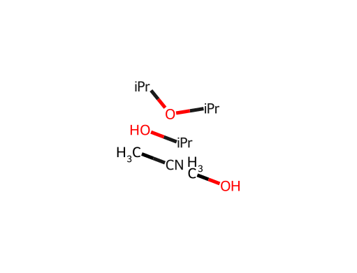 CC#N.CC(C)O.CC(C)OC(C)C.CO